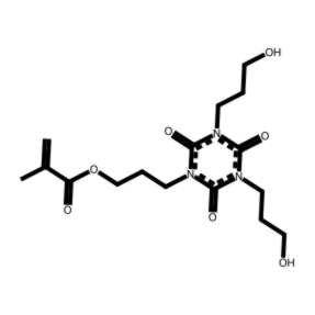 C=C(C)C(=O)OCCCn1c(=O)n(CCCO)c(=O)n(CCCO)c1=O